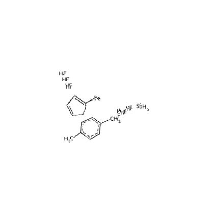 Cc1ccc(C)cc1.F.F.F.F.F.F.[Fe][C]1=CC=CC1.[SbH3]